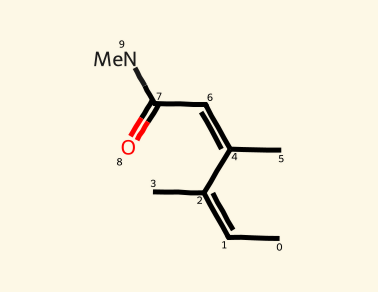 C/C=C(C)\C(C)=C/C(=O)NC